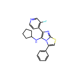 Fc1cnccc1-c1nc2scc(-c3ccccc3)n2c1NC1CCCC1